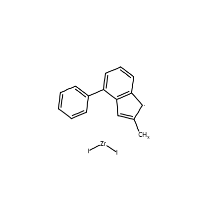 CC1=Cc2c(cccc2-c2ccccc2)[CH]1.[I][Zr][I]